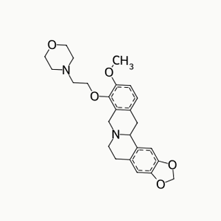 COc1ccc2c(c1OCCN1CCOCC1)CN1CCc3cc4c(cc3C1C2)OCO4